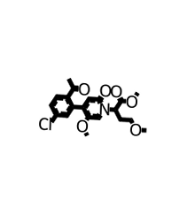 COCCC(C(=O)OC)n1cc(OC)c(-c2cc(Cl)ccc2C(C)=O)cc1=O